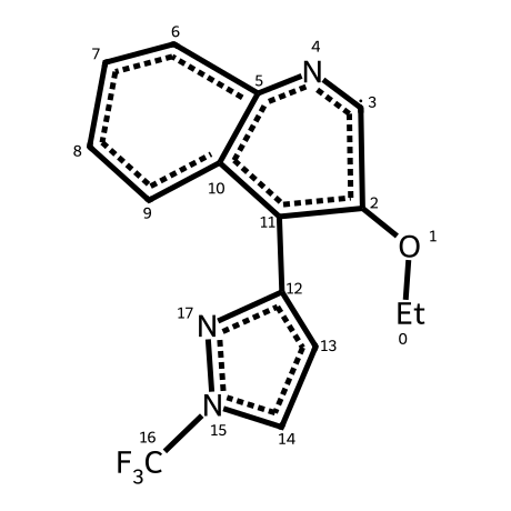 CCOc1[c]nc2ccccc2c1-c1ccn(C(F)(F)F)n1